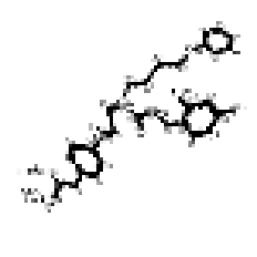 CCOC(Cc1ccc(OCCN(CCCCSc2ccccc2)C(=O)NCc2ccc(F)cc2F)cc1)C(=O)O